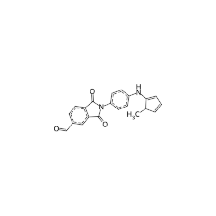 CC1C=CC=C1Nc1ccc(N2C(=O)c3ccc(C=O)cc3C2=O)cc1